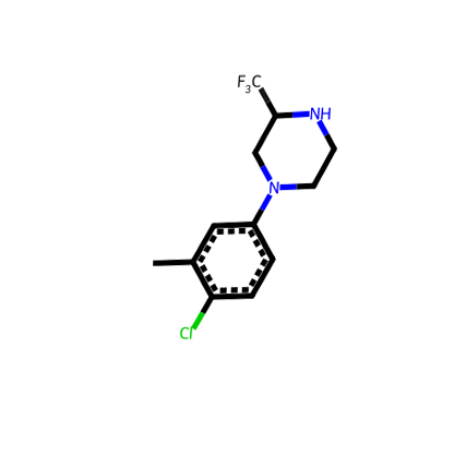 Cc1cc(N2CCNC(C(F)(F)F)C2)ccc1Cl